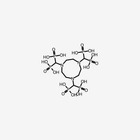 O=P(O)(O)C(N1CCN(C(P(=O)(O)O)P(=O)(O)O)CCN(C(P(=O)(O)O)P(=O)(O)O)CC1)P(=O)(O)O